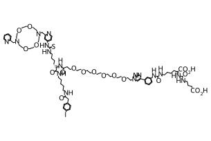 O=C(O)CCCNC(=O)N[C@@H](CCCCNC(=O)Nc1cccc(-c2cn(CCOCCOCCOCCOCCOCCOCCC(=O)N[C@@H](CCCCNC(=S)Nc3ccnc(CN4CCOCCOCCN(Cc5ccccn5)CCOCCOCC4)c3)C(=O)NCCCCCNC(=O)Cc3ccc(I)cc3)nn2)c1)C(=O)O